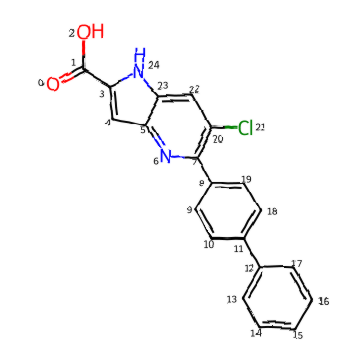 O=C(O)c1cc2nc(-c3ccc(-c4ccccc4)cc3)c(Cl)cc2[nH]1